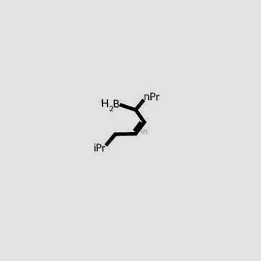 BC(/C=C\CC(C)C)CCC